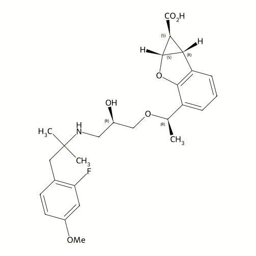 COc1ccc(CC(C)(C)NC[C@@H](O)CO[C@H](C)c2cccc3c2O[C@@H]2[C@@H](C(=O)O)[C@H]32)c(F)c1